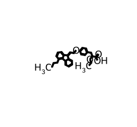 CCCCc1cccc2c1-c1ccccc1C2=CCOc1ccc(CC(OCC)C(=O)O)cc1